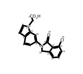 O=C(O)Cn1ccc2ccc(N3Cc4cccc(Cl)c4C3=O)cc21